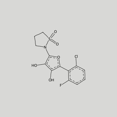 O=S1(=O)CCCN1c1oc(-c2c(F)cccc2Cl)c(O)c1O